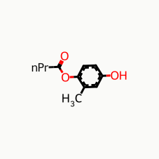 CCCC(=O)Oc1ccc(O)cc1C